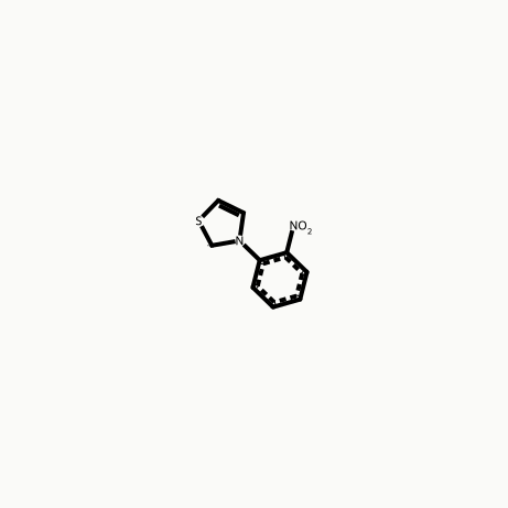 O=[N+]([O-])c1ccccc1N1[CH]SC=C1